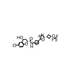 O=C(NC12CCC(c3nnc([C@H]4C[C@@H](OC(F)(F)F)C4)o3)(C1)C2)[C@H]1C[C@@H](O)c2cc(Cl)ccc2O1